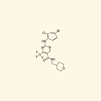 O=C(NCC1CCOCC1)c1cnc(Nc2ccc(Br)cc2Cl)nc1C(F)(F)F